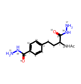 CC(=O)NC(CCc1ccc(C(=O)NN)cc1)C(=O)NN